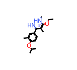 CCO/C(NC)=C(\C)C(=N)c1ccc(OC(C)C)c(C)c1